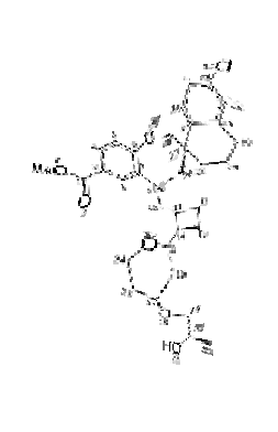 COC(=O)c1ccc2c(c1)N(C[C@@H]1CC[C@H]1[C@@H]1C[C@@H](OC[C@@H](C)O)CCO1)C[C@@]1(CCCc3cc(Cl)ccc31)CO2